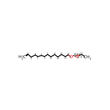 C=CCCCCCCCCCCCCO[SiH2]OCC